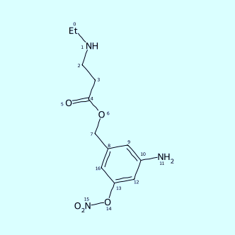 CCNCCC(=O)OCc1cc(N)cc(O[N+](=O)[O-])c1